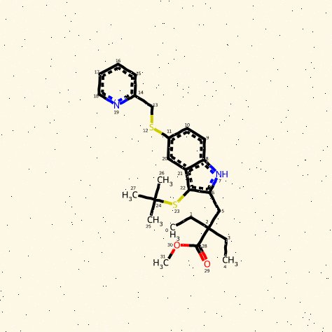 CCC(CC)(Cc1[nH]c2ccc(SCc3ccccn3)cc2c1SC(C)(C)C)C(=O)OC